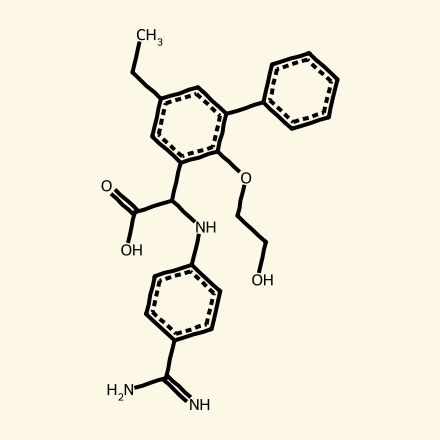 CCc1cc(-c2ccccc2)c(OCCO)c(C(Nc2ccc(C(=N)N)cc2)C(=O)O)c1